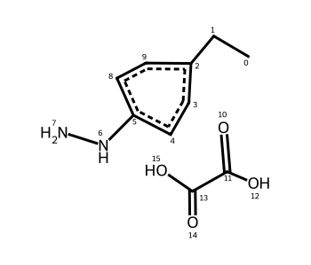 CCc1ccc(NN)cc1.O=C(O)C(=O)O